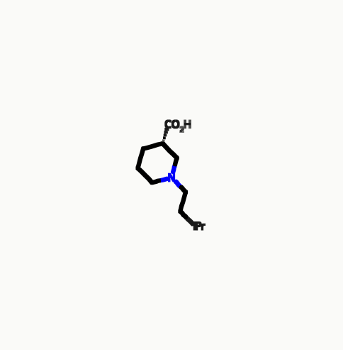 CC(C)CCN1CCC[C@H](C(=O)O)C1